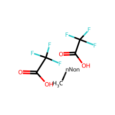 CCCCCCCCCC.O=C(O)C(F)(F)F.O=C(O)C(F)(F)F